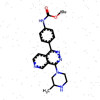 CC1CN(c2nnc(-c3ccc(NC(=O)OC(C)(C)C)cc3)c3ccncc23)CCN1